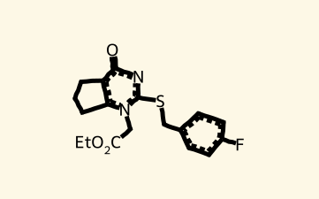 CCOC(=O)Cn1c(SCc2ccc(F)cc2)nc(=O)c2c1CCC2